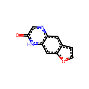 O=c1cnc2cc3ccoc3cc2[nH]1